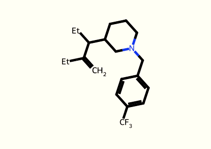 C=C(CC)C(CC)C1CCCN(Cc2ccc(C(F)(F)F)cc2)C1